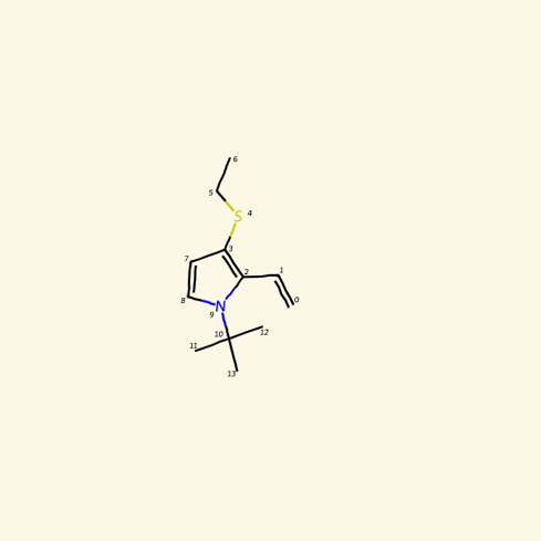 C=Cc1c(SCC)ccn1C(C)(C)C